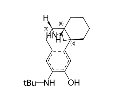 CC(C)(C)Nc1cc2c(cc1O)[C@@]13CCCC[C@H]1[C@@H](C2)NCC3